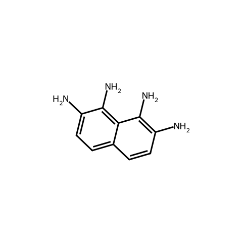 Nc1ccc2ccc(N)c(N)c2c1N